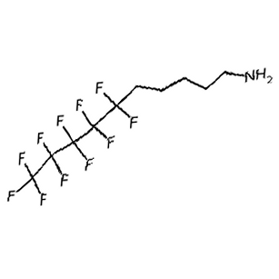 NCCCCCC(F)(F)C(F)(F)C(F)(F)C(F)(F)C(F)(F)F